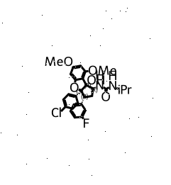 COc1cc(OC)c2c(c1)O[C@]1(c3ccc(Cl)cc3)[C@@H](c3cccc(F)c3)C[C@@H](NC(=O)NC(C)C)[C@]21O